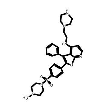 CN1CCN(S(=O)(=O)c2ccc(-c3oc4nccc(NCCN5CCNCC5)c4c3-c3ccccc3)cc2)CC1